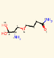 NC(=O)CCCOC[C@H](N)C(O)O